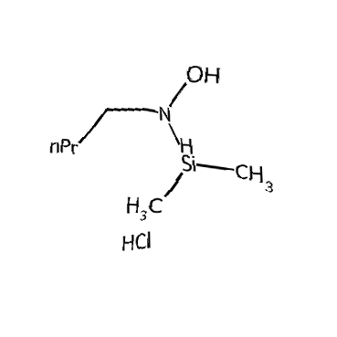 CCCCN(O)[SiH](C)C.Cl